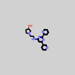 O[C@@H]1CCN(CCNc2cc(-c3cccnc3)nc(-c3ccccn3)n2)C1